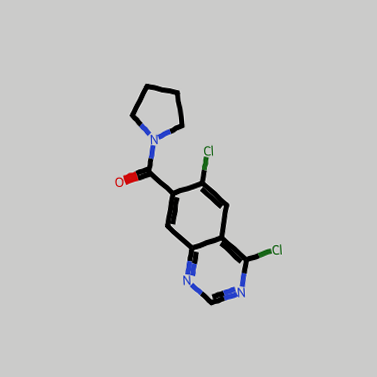 O=C(c1cc2ncnc(Cl)c2cc1Cl)N1CCCC1